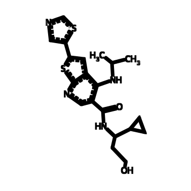 CC(C)Nc1c(C(=O)NC(CCO)C2CC2)cnc2sc(-c3cncs3)cc12